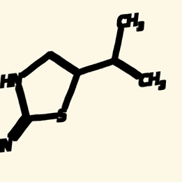 CC(C)C1CNC(=N)S1